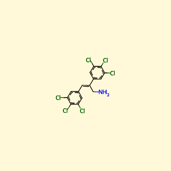 NCC(=Cc1cc(Cl)c(Cl)c(Cl)c1)c1cc(Cl)c(Cl)c(Cl)c1